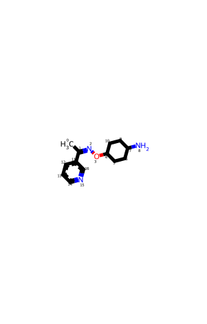 CC(=NOC1CCC(N)CC1)c1cccnc1